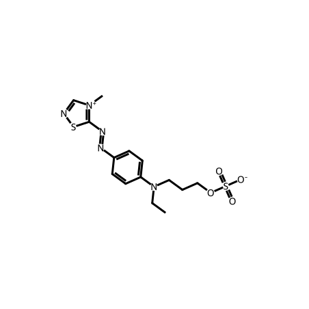 CCN(CCCOS(=O)(=O)[O-])c1ccc(N=Nc2snc[n+]2C)cc1